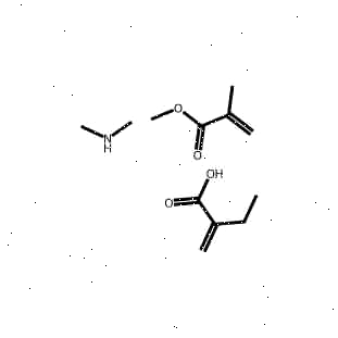 C=C(C)C(=O)OC.C=C(CC)C(=O)O.CNC